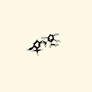 C[C@@]12O[C@@](C)(C[C@H]1O)[C@@H](C(=O)Nc1ccc(C#N)c(C(F)(F)F)c1)[C@H]2C(=O)O